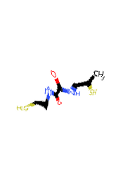 CC(S)CNC(=O)C(=O)NCCS